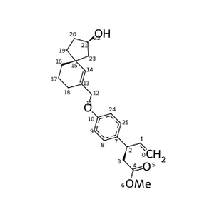 C=C[C@@H](CC(=O)OC)c1ccc(OCC2=C[C@]3(CCC2)CC[C@@H](O)C3)cc1